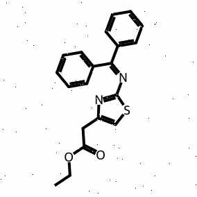 CCOC(=O)Cc1csc(N=C(c2ccccc2)c2ccccc2)n1